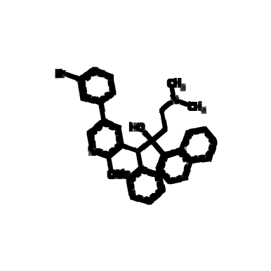 COc1ncc(-c2cccc(Br)c2)cc1C(c1ccccc1)C(O)(CCN(C)C)c1cccc2ccccc12